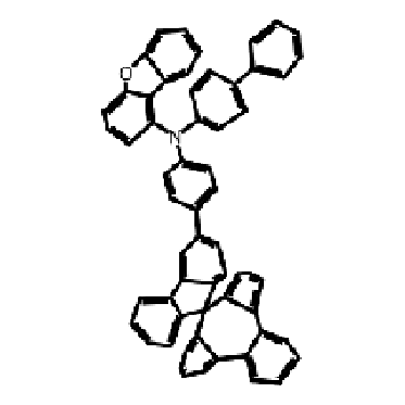 c1ccc(-c2ccc(N(c3ccc(-c4ccc5c(c4)-c4ccccc4C54c5ccccc5-c5ccccc5-c5ccccc54)cc3)c3cccc4oc5ccccc5c34)cc2)cc1